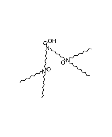 CCCCCCCCCCN(CCCCCCCCCC)C(=O)CCCCCCCN(CCCCCCCC(=O)N(CCCCCCCCCC)CCCCCCCCCC)[C@H]1CC[C@H]1O